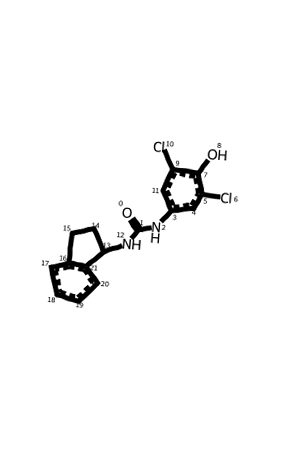 O=C(Nc1cc(Cl)c(O)c(Cl)c1)NC1CCc2ccccc21